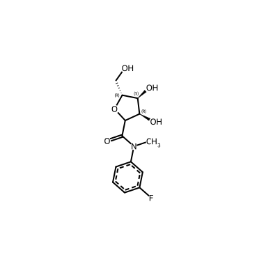 CN(C(=O)C1O[C@H](CO)[C@@H](O)[C@H]1O)c1cccc(F)c1